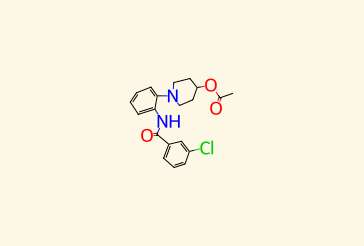 CC(=O)OC1CCN(c2ccccc2NC(=O)c2cccc(Cl)c2)CC1